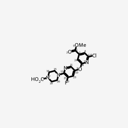 COC(=O)c1cc(Cl)nc(Oc2cnc(N3CCN(C(=O)O)CC3)c(F)c2)c1